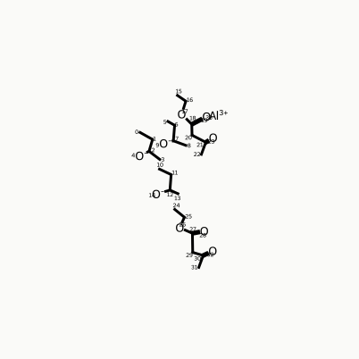 CCC(C)[O-].CCC(C)[O-].CCC(C)[O-].CCOC(=O)CC(C)=O.CCOC(=O)CC(C)=O.[Al+3]